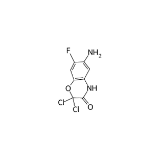 Nc1cc2c(cc1F)OC(Cl)(Cl)C(=O)N2